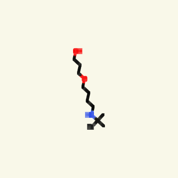 CCC(C)(C)NCCCCOCCCO